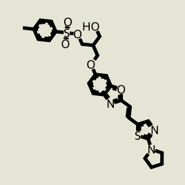 Cc1ccc(S(=O)(=O)OCC(CO)COc2ccc3nc(/C=C/c4cnc(N5CCCC5)s4)oc3c2)cc1